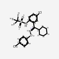 O=S(=O)(Nc1ccc(Cl)cc1/C(=N/Oc1ccc(Cl)cc1)C1CCCCC1)C(F)(F)F